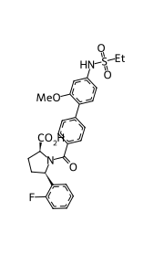 CCS(=O)(=O)Nc1ccc(-c2ccc(C(=O)N3[C@@H](c4ccccc4F)CC[C@H]3C(=O)O)cc2)c(OC)c1